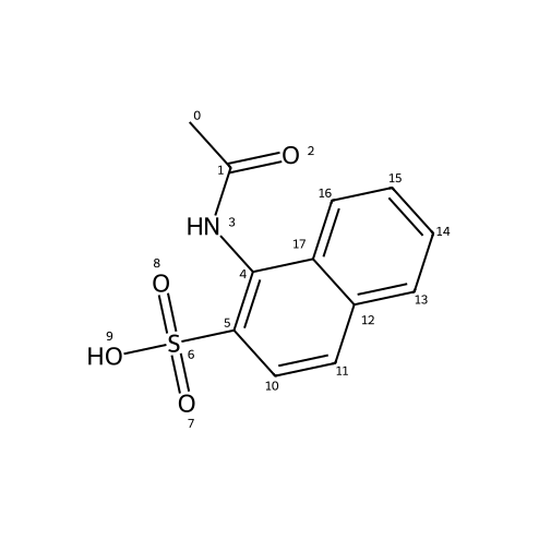 CC(=O)Nc1c(S(=O)(=O)O)ccc2ccccc12